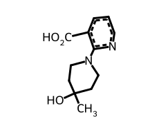 CC1(O)CCN(c2ncccc2C(=O)O)CC1